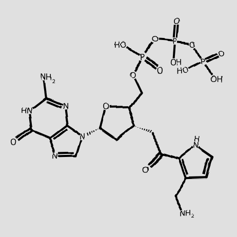 NCc1cc[nH]c1C(=O)C[C@@H]1C[C@H](n2cnc3c(=O)[nH]c(N)nc32)OC1COP(=O)(O)OP(=O)(O)OP(=O)(O)O